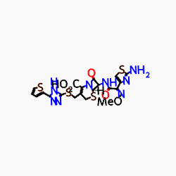 CO/N=C(\C(=O)N[C@@H]1C(=O)N2C(C(=O)O)=C(CSc3nnc(-c4cccs4)[nH]3)CS[C@H]12)c1csc(N)n1